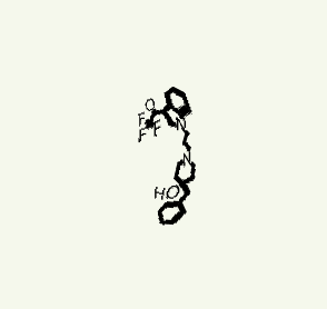 O=C(c1cn(CCCN2CCC(O)(Cc3ccccc3)CC2)c2ccccc12)C(F)(F)F